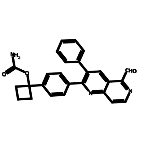 NC(=O)OC1(c2ccc(-c3nc4ccnc(C=O)c4cc3-c3ccccc3)cc2)CCC1